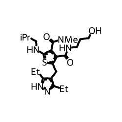 CCc1n[nH]c(CC)c1Cc1sc(NCC(C)C)c(C(=O)NC)c1C(=O)NCCCO